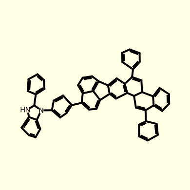 C1=C(c2ccccc2)c2ccccc2C2C=C(c3ccccc3)c3cc4c(cc3C12)-c1ccc(-c2ccc(N3c5ccccc5NC3c3ccccc3)cc2)c2cccc-4c12